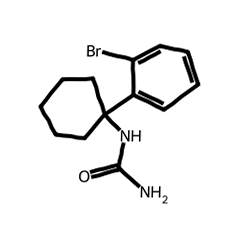 NC(=O)NC1(c2ccccc2Br)CCCCC1